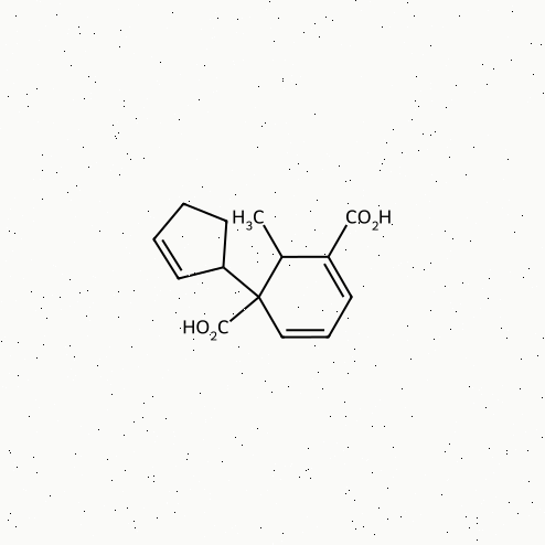 CC1C(C(=O)O)=CC=CC1(C(=O)O)C1C=CCC1